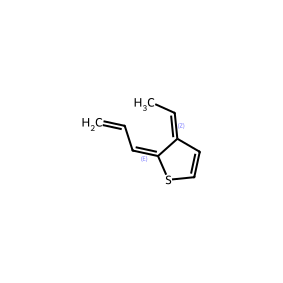 C=C/C=c1/scc/c1=C/C